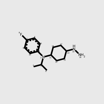 CC(C)N(c1ccc(F)cc1)C1CCC(NN)CC1